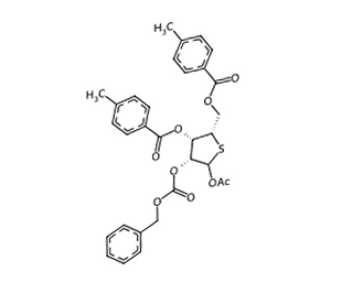 CC(=O)OC1S[C@@H](COC(=O)c2ccc(C)cc2)[C@@H](OC(=O)c2ccc(C)cc2)[C@H]1OC(=O)OCc1ccccc1